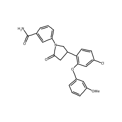 COc1cccc(Oc2cc(Cl)ccc2C2CC(=O)N(c3cccc(C(N)=O)c3)C2)c1